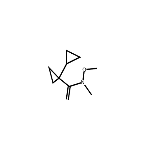 C=C(N(C)OC)C1(C2CC2)CC1